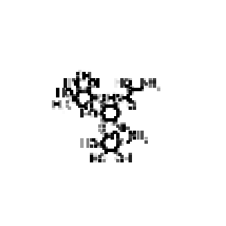 CN[C@@H]1[C@@H](O)[C@@H](O[C@@H]2[C@@H](O)[C@H](O[C@H]3O[C@H](CN)[C@H](O)C(O)[C@H]3O)[C@@H](N)C[C@H]2NC(=O)[C@@H](O)CN)OC[C@]1(C)O